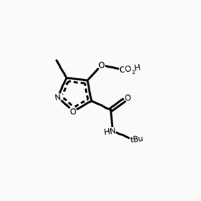 Cc1noc(C(=O)NC(C)(C)C)c1OC(=O)O